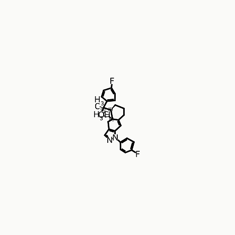 C[C@]12Cc3cnn(-c4ccc(F)cc4)c3C=C1CCC[C@@H]2[C@@](C)(O)c1ccc(F)cc1